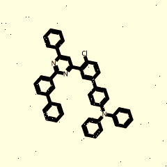 Clc1ccc(-c2ccc(N(c3ccccc3)c3ccccc3)cc2)cc1-c1cc(-c2ccccc2)nc(-c2cccc(-c3ccccc3)c2)n1